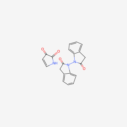 O=C1C=CNC1=O.O=C1Cc2ccccc2N1N1C(=O)Cc2ccccc21